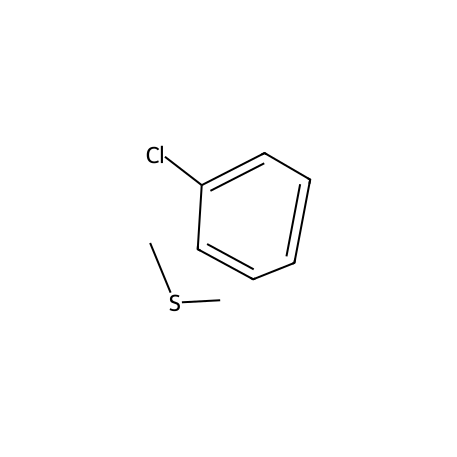 CSC.Clc1ccccc1